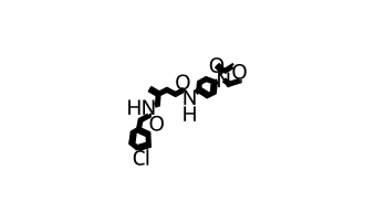 C=C(CCC(=O)NC1=CC=C(N2CCOCC2=O)CC1)CNC(=O)Cc1ccc(Cl)cc1